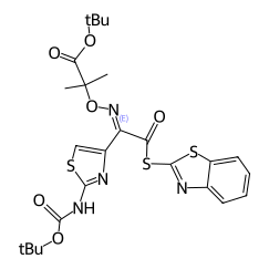 CC(C)(C)OC(=O)Nc1nc(/C(=N\OC(C)(C)C(=O)OC(C)(C)C)C(=O)Sc2nc3ccccc3s2)cs1